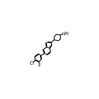 CCCC1CCC(c2ccc3cc(-c4ccc(Cl)c(F)c4)ccc3c2)CC1